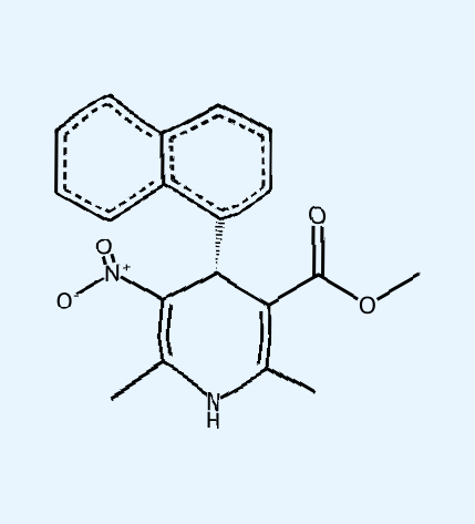 COC(=O)C1=C(C)NC(C)=C([N+](=O)[O-])[C@@H]1c1cccc2ccccc12